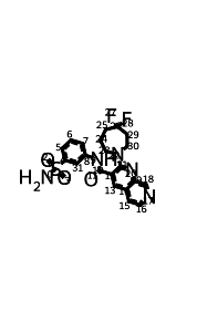 NS(=O)(=O)c1cccc(NC(=O)c2cc3ccncc3nc2N2CCCC(F)(F)CC2)c1